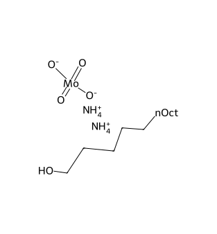 CCCCCCCCCCCCCO.[NH4+].[NH4+].[O]=[Mo](=[O])([O-])[O-]